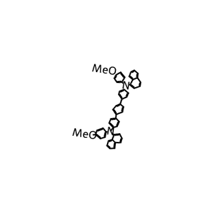 COc1ccc(N(c2ccc(-c3ccc(-c4ccc(N(c5ccc(OC)cc5)c5cccc6ccccc56)cc4)cc3)cc2)c2cccc3ccccc23)cc1